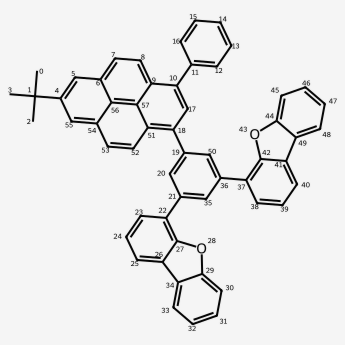 CC(C)(C)c1cc2ccc3c(-c4ccccc4)cc(-c4cc(-c5cccc6c5oc5ccccc56)cc(-c5cccc6c5oc5ccccc56)c4)c4ccc(c1)c2c34